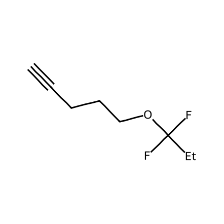 C#CCCCOC(F)(F)CC